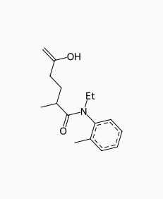 C=C(O)CCC(C)C(=O)N(CC)c1ccccc1C